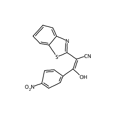 N#C/C(=C(\O)c1ccc([N+](=O)[O-])cc1)c1nc2ccccc2s1